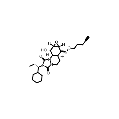 C#CCCCO/N=C1/[C@H]2CCn3c(=O)n([C@@H](CC)C4CCCCC4)c(=O)n3[C@H]2[C@H](O)[C@@H]2O[C@H]12